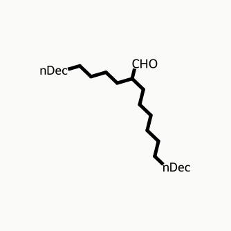 CCCCCCCCCCCCCCCCC(C=O)CCCCCCCCCCCCCC